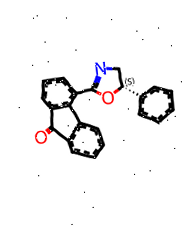 O=C1c2ccccc2-c2c1cccc2C1=NC[C@H](c2ccccc2)O1